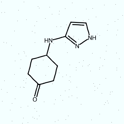 O=C1CCC(Nc2cc[nH]n2)CC1